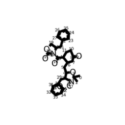 CC1(C)OC(CC2CC(=O)CCC2C(=O)N2C(=O)OCC2Cc2ccccc2)C(Cc2ccccc2)N1C(=O)O